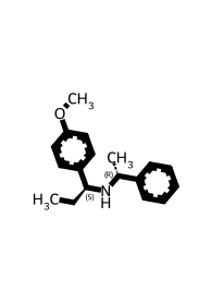 CC[C@H](N[C@H](C)c1ccccc1)c1ccc(OC)cc1